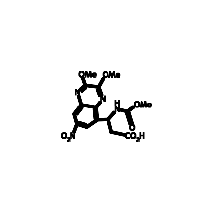 COC(=O)NC(CC(=O)O)c1cc([N+](=O)[O-])cc2nc(OC)c(OC)nc12